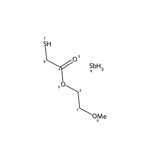 COCCOC(=O)CS.[SbH3]